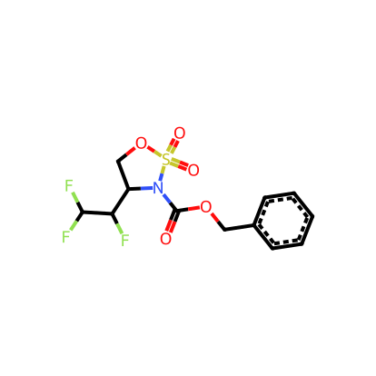 O=C(OCc1ccccc1)N1C(C(F)C(F)F)COS1(=O)=O